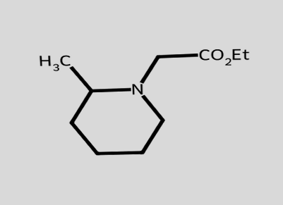 CCOC(=O)CN1CCCCC1C